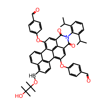 CC(C)c1cccc(C(C)C)c1N1C(=O)c2cc(Oc3ccc(C=O)cc3)c3c4cccc5c(BOC(C)(C)C(C)(C)O)ccc(c6c(Oc7ccc(C=O)cc7)cc(c2c36)C1=O)c54